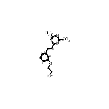 OCCOc1cccc(C=Cc2nc(C(Cl)(Cl)Cl)nc(C(Cl)(Cl)Cl)n2)c1